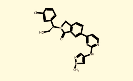 Cn1cc(Nc2nccc(-c3ccc4c(c3)C(=O)N([C@@H](CO)c3cccc(Cl)c3)C4)n2)cn1